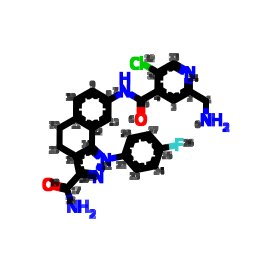 NCc1cc(C(=O)Nc2ccc3c(c2)-c2c(c(C(N)=O)nn2-c2ccc(F)cc2)CC3)c(Cl)cn1